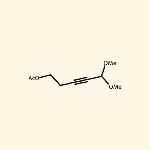 COC(C#CCCOC(C)=O)OC